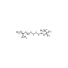 C=C(C)COCCCCCCC(F)(F)[SiH3]